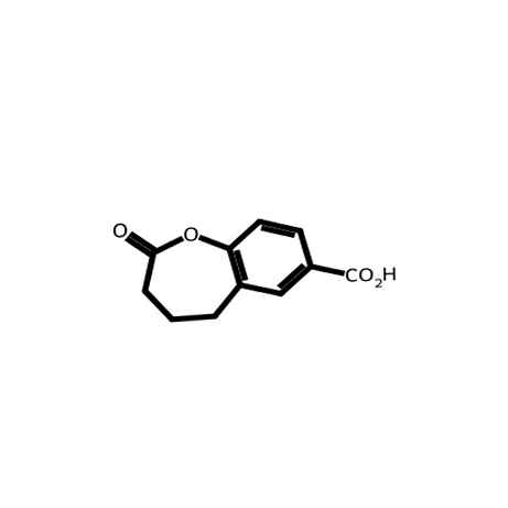 O=C1CCCc2cc(C(=O)O)ccc2O1